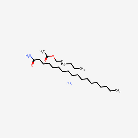 CCCC.CCCCCCCCCCCCCCCCCC(N)=O.CCOC(C)=O.N